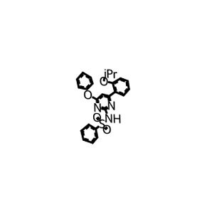 CC(C)Oc1ccccc1-c1cc(Oc2ccccc2)nc(NS(=O)(=O)c2ccccc2)n1